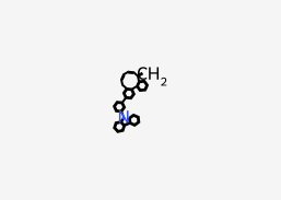 C=C1/C=C\C=C/Cc2cc(-c3cccc(-n4c5ccccc5c5ccccc54)c3)ccc2-c2ccccc21